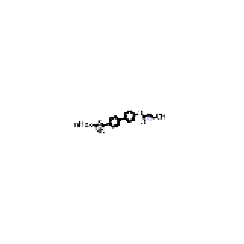 C/C=C/C(=O)Oc1ccc(-c2ccc(-c3nnc(CCCCCC)s3)cc2)cc1